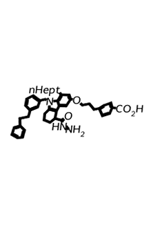 CCCCCCCc1cc(OCCCc2ccc(C(=O)O)cc2)cc2c3c(n(Cc4cccc(CCc5ccccc5)c4)c12)CCCC3C(=O)NN